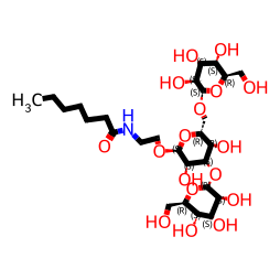 CCCCCCC(=O)NCCO[C@H]1O[C@H](CO[C@H]2O[C@H](CO)[C@@H](O)[C@H](O)[C@@H]2O)[C@@H](O)[C@H](O[C@H]2O[C@H](CO)[C@@H](O)[C@H](O)[C@@H]2O)[C@@H]1O